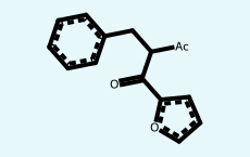 CC(=O)C(Cc1ccccc1)C(=O)c1ccco1